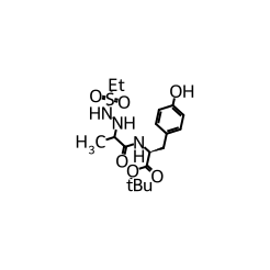 CCS(=O)(=O)NNC(C)C(=O)N[C@@H](Cc1ccc(O)cc1)C(=O)OC(C)(C)C